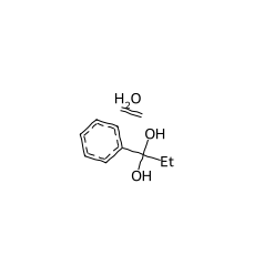 C=C.CCC(O)(O)c1ccccc1.O